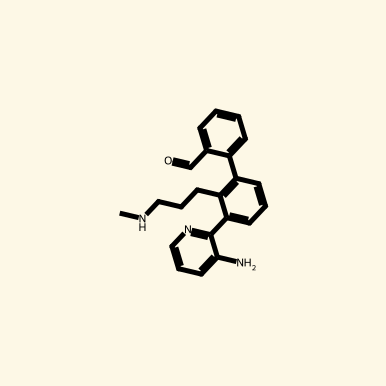 CNCCCc1c(-c2ccccc2C=O)cccc1-c1ncccc1N